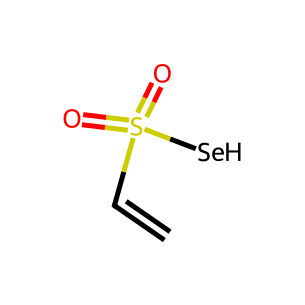 C=CS(=O)(=O)[SeH]